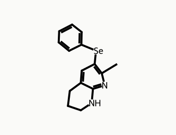 Cc1nc2c(cc1[Se]c1ccccc1)CCCN2